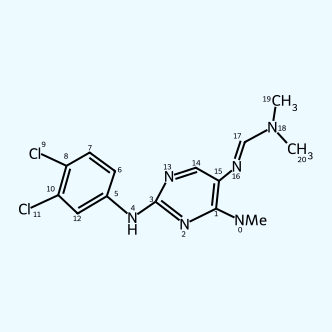 CNc1nc(Nc2ccc(Cl)c(Cl)c2)ncc1N=CN(C)C